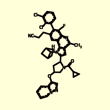 Cc1nc2c(F)c(-c3cccc(Cl)c3Cl)c(CCC#N)cc2c2c1cc(C1CC(Oc3cnn4ccccc34)CN1C(=O)C1CC1)n2C1C2CNC1C2